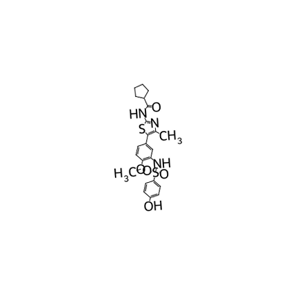 COc1ccc(-c2sc(NC(=O)C3CCCC3)nc2C)cc1NS(=O)(=O)c1ccc(O)cc1